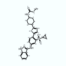 CC(C)OC(=O)NC1CCC(c2ncc(-c3ccc(Nc4n[nH]c5ccccc45)cc3S(=O)(=O)C3CC3)s2)CC1